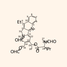 CCc1c2c(nc3ccccc13)/C(=C/C(=C(\C=O)COC=O)C(C)OC(=O)C(C(C)C)N(C)C=O)N(C)C2